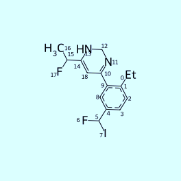 CCc1ccc(C(F)I)cc1C1=NCNC(C(C)F)=C1